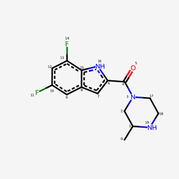 CC1CN(C(=O)c2cc3cc(F)cc(F)c3[nH]2)CCN1